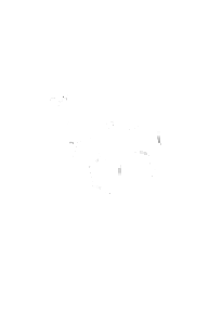 NCC[C@H]1Cc2cc(F)cc(-c3c(Cl)cccc3Cl)c2O1